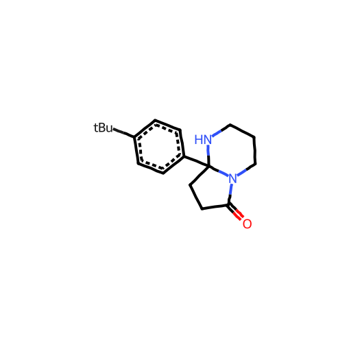 CC(C)(C)c1ccc(C23CCC(=O)N2CCCN3)cc1